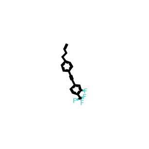 C=CCCc1ccc(C#Cc2ccc(C(F)(F)F)c(F)c2)cc1